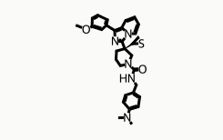 COc1cccc(-c2nc([C@@]3(C4CS4)CCCN(C(=O)NCc4ccc(N(C)C)cc4)C3)n3ccccc23)c1